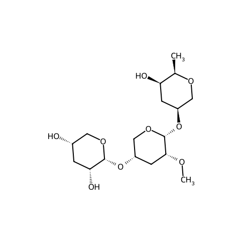 CO[C@@H]1C[C@H](O[C@H]2OC[C@@H](O)C[C@H]2O)CO[C@@H]1O[C@@H]1CO[C@H](C)[C@H](O)C1